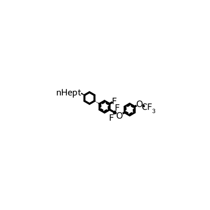 CCCCCCC[C@H]1CC[C@H](c2ccc(C(F)(F)Oc3ccc(OC(F)(F)F)cc3)c(F)c2)CC1